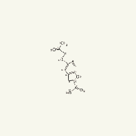 CC(=O)COc1ccc2oc(C(=O)O)cc2c1